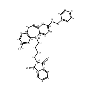 O=C1c2ccccc2C(=O)N1CCCCN1C2=CC=C(OCc3ccccc3)CC2=CCc2ccc(Cl)cc21